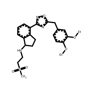 CCOc1ccc(Cc2nc(-c3cccc4c3CCC4NCCS(C)(=O)=O)no2)cc1OCC